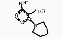 Cc1c([NH-])on[n+]1N1CCCCC1.Cl